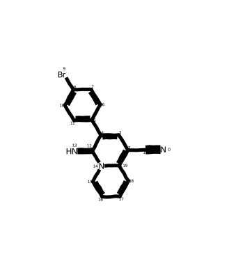 N#Cc1cc(-c2ccc(Br)cc2)c(=N)n2ccccc12